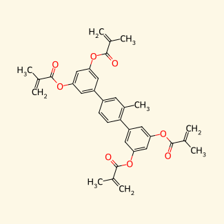 C=C(C)C(=O)Oc1cc(OC(=O)C(=C)C)cc(-c2ccc(-c3cc(OC(=O)C(=C)C)cc(OC(=O)C(=C)C)c3)c(C)c2)c1